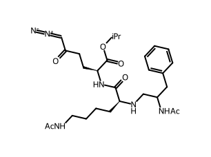 CC(=O)NCCCC[C@H](NCC(Cc1ccccc1)NC(C)=O)C(=O)N[C@@H](CCC(=O)C=[N+]=[N-])C(=O)OC(C)C